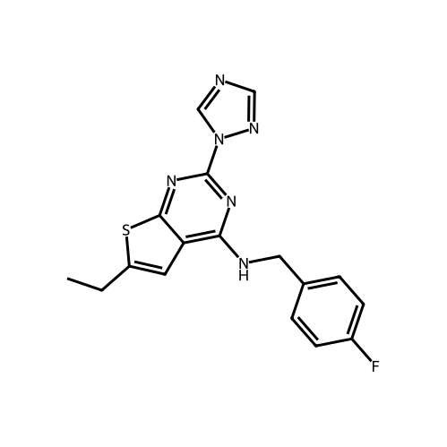 CCc1cc2c(NCc3ccc(F)cc3)nc(-n3cncn3)nc2s1